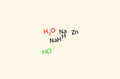 Cl.O.[NaH].[NaH].[Zn]